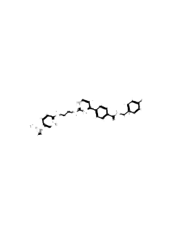 O=C(NCc1ccc(F)cc1)c1ccc(-c2ccnc(NCCNc3ccc([N+](=O)[O-])cn3)n2)cc1